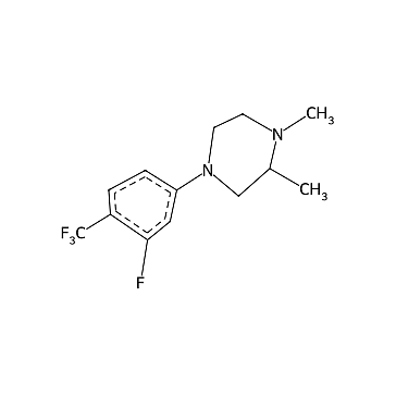 CC1CN(c2ccc(C(F)(F)F)c(F)c2)CCN1C